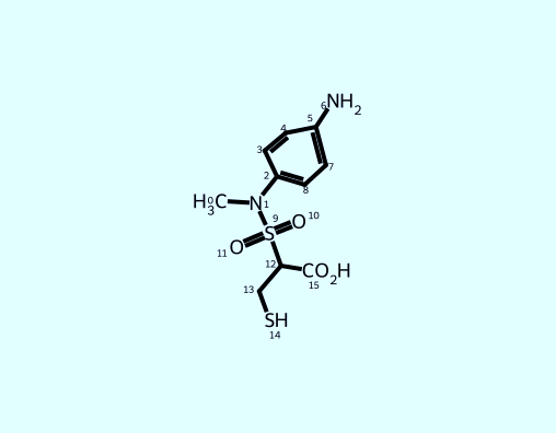 CN(c1ccc(N)cc1)S(=O)(=O)C(CS)C(=O)O